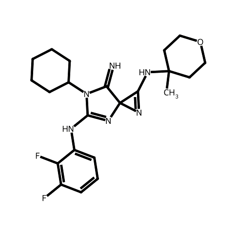 CC1(NC2=NC23N=C(Nc2cccc(F)c2F)N(C2CCCCC2)C3=N)CCOCC1